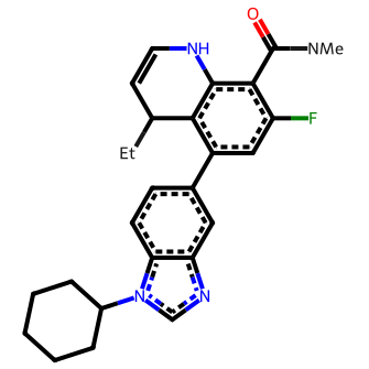 CCC1C=CNc2c(C(=O)NC)c(F)cc(-c3ccc4c(c3)ncn4C3CCCCC3)c21